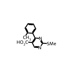 CSc1ncc(C(=O)O)c(-c2ccccc2C)n1